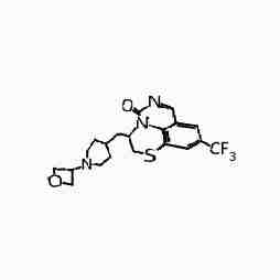 O=c1ncc2cc(C(F)(F)F)cc3c2n1C(CC1CCN(C2COC2)CC1)CS3